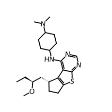 CC[C@@H](C[C@H]1CCc2sc3ncnc(NC4CCC(N(C)C)CC4)c3c21)OC